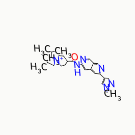 CC(C)C[N+]1(CC(C)C)CCC(C(=O)Nc2cc3cc(-c4cnn(C)c4)ncc3cn2)CC1